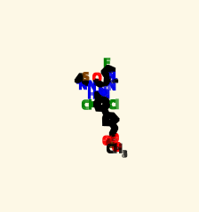 CS(=O)(=O)OCCc1ccc(-c2cc(Cl)c3cn([C@@H](C(=O)Nc4nccs4)c4ncn5c4C[C@@H](F)C5)nc3c2Cl)cc1